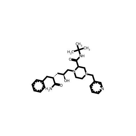 CC(C)(C)NC(=O)C1CN(Cc2cccnc2)CCN1C[C@@H](O)C[C@@H](Cc1ccccc1)C(N)=O